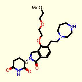 COCCOCCOc1c(CCN2CCCNCC2)ccc2c1CN([C@H]1CCC(=O)NC1=O)C2=O